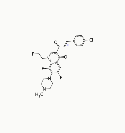 CN1CCN(c2c(F)cc3c(=O)c(C(=O)/C=C/c4ccc(Cl)cc4)cn(CCF)c3c2F)CC1